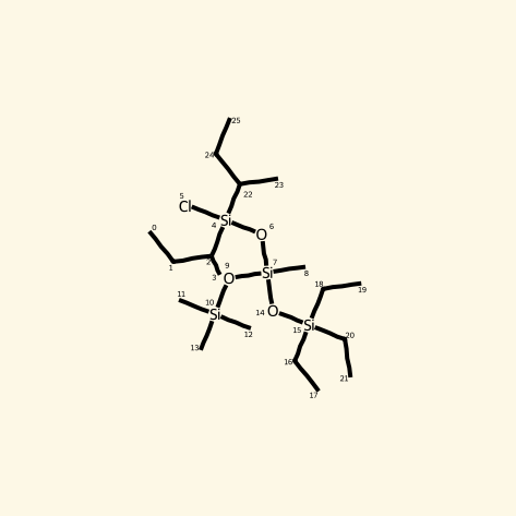 CCC(C)[Si](Cl)(O[Si](C)(O[Si](C)(C)C)O[Si](CC)(CC)CC)C(C)CC